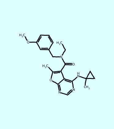 CCN(Cc1cccc(OC)c1)C(=O)c1c(C)oc2ncnc(NC3(C)CC3)c12